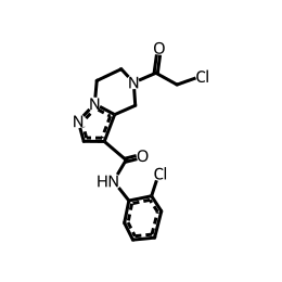 O=C(Nc1ccccc1Cl)c1cnn2c1CN(C(=O)CCl)CC2